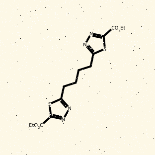 CCOC(=O)c1nnc(CCCCc2nnc(C(=O)OCC)s2)s1